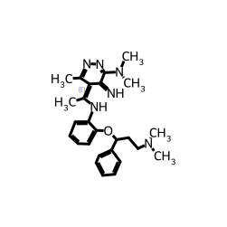 CC1=NN=C(N(C)C)C(=N)/C1=C(/C)Nc1ccccc1OC(CCN(C)C)c1ccccc1